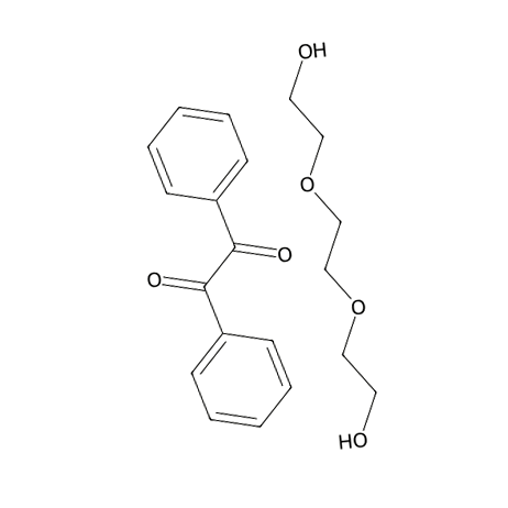 O=C(C(=O)c1ccccc1)c1ccccc1.OCCOCCOCCO